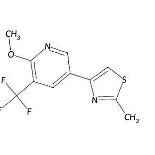 COc1ncc(-c2csc(C)n2)cc1C(F)(F)F